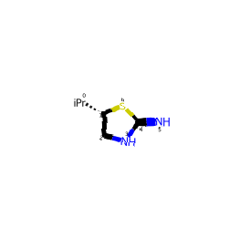 CC(C)[C@H]1CNC(=N)S1